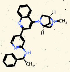 C[C@H](Nc1cc(-c2cc(N3C[C@@H]4C[C@H]3CN4C)c3ccccc3n2)ccn1)c1ccccc1